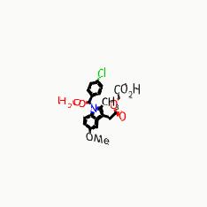 COc1ccc2c(c1)c(CC(=O)OCC(=O)O)c(C)n2C(=O)c1ccc(Cl)cc1.O